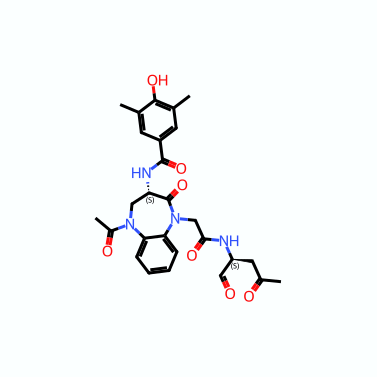 CC(=O)C[C@@H](C=O)NC(=O)CN1C(=O)[C@@H](NC(=O)c2cc(C)c(O)c(C)c2)CN(C(C)=O)c2ccccc21